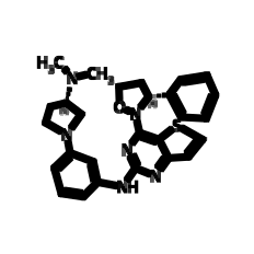 CN(C)[C@H]1CCN(c2cccc(Nc3nc(N4OCC[C@@H]4c4ccccc4)c4sccc4n3)c2)C1